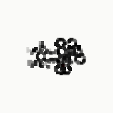 C=CC1(C)c2ccccc2N2c3nc4c(nc3N(c3ccccc3)C2C1(C)C1N(c2ccccc2)c2ccccc2N1c1ccccc1C)C(C)(C)CC4(C)C